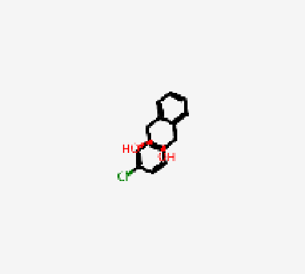 OC1C2c3ccccc3C(c3cc(Cl)ccc32)C1O